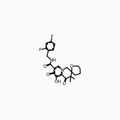 CC1(C)C(=O)c2c(O)c(=O)c(C(=O)NCc3ccc(F)cc3F)cn2CC12CCCCO2